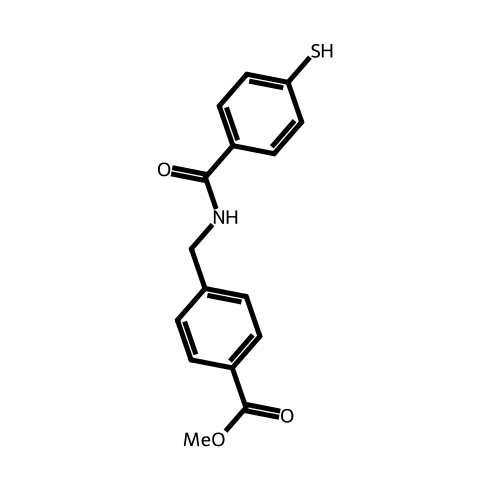 COC(=O)c1ccc(CNC(=O)c2ccc(S)cc2)cc1